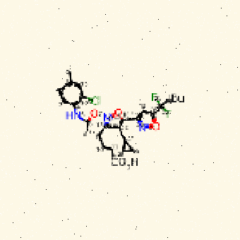 Cc1ccc(NC(=O)C[C@@H](CCC(=O)O)c2noc(-c3cc(C(F)(F)C(C)(C)C)on3)c2C2CC2)c(Cl)c1